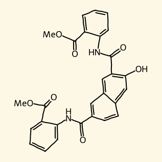 COC(=O)c1ccccc1NC(=O)c1ccc2cc(O)c(C(=O)Nc3ccccc3C(=O)OC)cc2c1